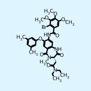 CCN(CC)C(=O)C[C@H]1C(=O)Nc2cc(NC(=O)c3cc(OC)c(OC)c(OC)c3Br)c(Oc3cc(C)cc(C)c3)cc2C(=O)N1C